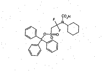 O=C(O)N(C1CCCCC1)C(F)(F)CS(=O)(=O)OS(c1ccccc1)(c1ccccc1)c1ccccc1